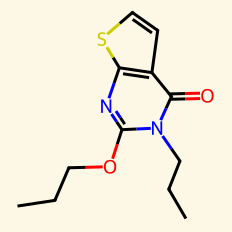 CCCOc1nc2sccc2c(=O)n1CCC